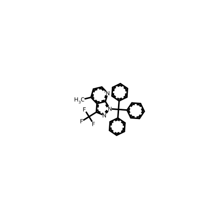 Cc1ccnc2c1c(C(F)(F)F)nn2C(c1ccccc1)(c1ccccc1)c1ccccc1